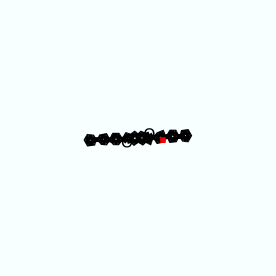 c1ccc(-c2ccc(-c3ccc(-c4cc5cc6cc7oc(-c8ccc(-c9ccc(-c%10ccccc%10)cc9)cc8)cc7cc6cc5o4)cc3)cc2)cc1